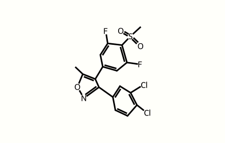 Cc1onc(-c2ccc(Cl)c(Cl)c2)c1-c1cc(F)c(S(C)(=O)=O)c(F)c1